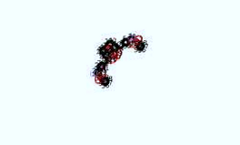 O=C(/C=C\c1ccc(Cc2cc3ccccc3c3c2OCOc2c(Cc4ccc(/C=C\C(=O)Oc5ccccc5)cc4)cc4ccccc4c2-3)cc1)Oc1ccccc1